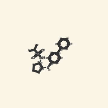 CC(C)S(=O)(=O)N[C@H]1CCC[C@H]1Oc1ccc(-c2ccccc2)cc1